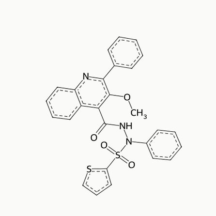 COc1c(-c2ccccc2)nc2ccccc2c1C(=O)NN(c1ccccc1)S(=O)(=O)c1cccs1